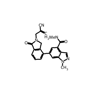 C=C(C#N)CN1Cc2c(cccc2-c2cc(C(=O)NC)c3cnn(C)c3c2)C1=O